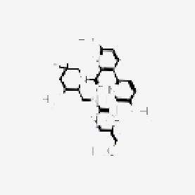 C=C(/N=C\C(=C/C)C(F)(F)F)NCC1C(C)CC(F)(F)CN1C(=O)c1nc(C)ccc1-c1ccc(C)cn1